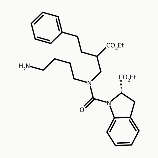 CCOC(=O)C(CCc1ccccc1)CN(CCCCN)C(=O)N1c2ccccc2C[C@H]1C(=O)OCC